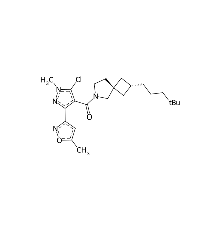 Cc1cc(-c2nn(C)c(Cl)c2C(=O)N2CC[C@]3(C2)C[C@@H](CCCC(C)(C)C)C3)no1